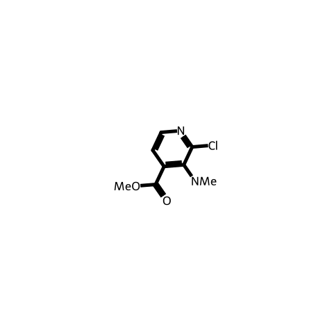 CNc1c(C(=O)OC)ccnc1Cl